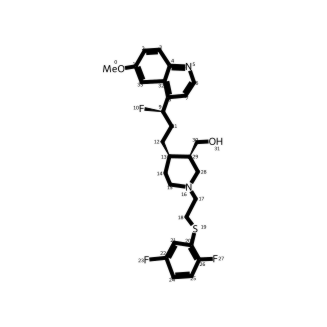 COc1ccc2nccc([C@H](F)CC[C@@H]3CCN(CCSc4cc(F)ccc4F)C[C@@H]3CO)c2c1